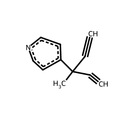 C#CC(C)(C#C)c1ccncc1